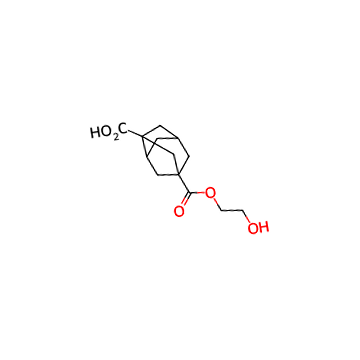 O=C(OCCO)C12CC3CC(C1)C(C(=O)O)(C3)C2